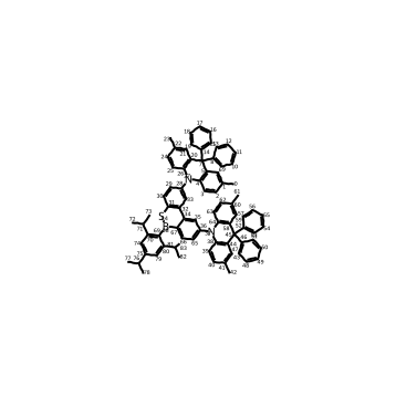 Cc1ccc2c(c1)C(c1ccccc1)(c1ccccc1)c1cc(C)ccc1N2c1ccc2c(c1)-c1cc(N3c4ccc(C)cc4C(c4ccccc4)(c4ccccc4)c4cc(C)ccc43)ccc1B(c1c(C(C)C)cc(C(C)C)cc1C(C)C)S2